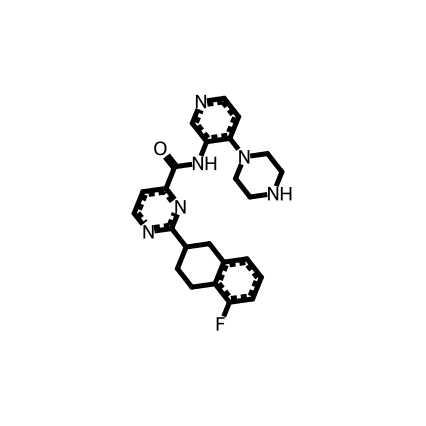 O=C(Nc1cnccc1N1CCNCC1)c1ccnc(C2CCc3c(F)cccc3C2)n1